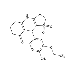 Cc1ccc(C2C3=C(CCCC3=O)NC3=C2S(=O)(=O)CC3)cc1OCC(F)(F)F